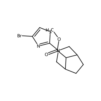 COC(=O)C1C2CCC1CN(c1nc(Br)cs1)C2